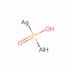 O=[P](O)([AlH])[Ag]